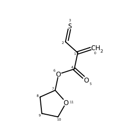 C=C(C=S)C(=O)OC1CCCO1